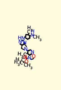 CNc1ccc(Nc2ncc3c(n2)CN(c2cnc4c(c2C)N(C(=O)OC(C)(C)C)CCO4)CC3)cc1C